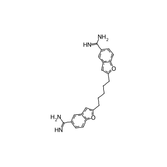 N=C(N)c1ccc2oc(CCCCCc3cc4cc(C(=N)N)ccc4o3)cc2c1